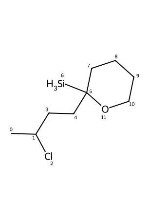 CC(Cl)CCC1([SiH3])CCCCO1